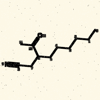 CCCCCCC(CC#N)C(C)=O